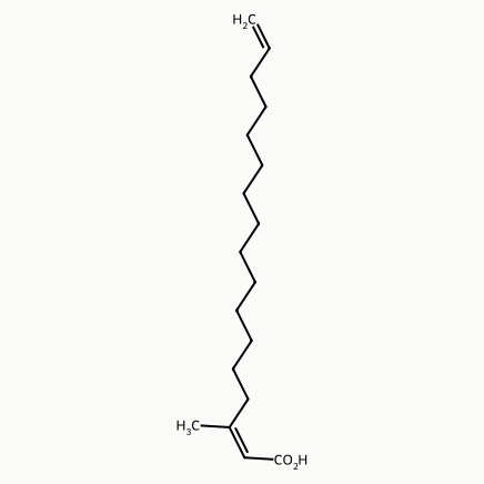 C=CCCCCCCCCCCCCC(C)=CC(=O)O